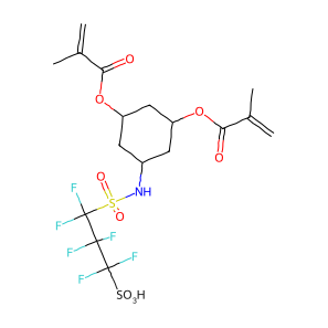 C=C(C)C(=O)OC1CC(NS(=O)(=O)C(F)(F)C(F)(F)C(F)(F)S(=O)(=O)O)CC(OC(=O)C(=C)C)C1